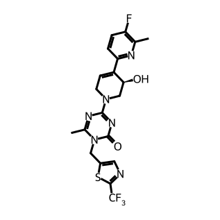 Cc1nc(C2=CCN(c3nc(C)n(Cc4cnc(C(F)(F)F)s4)c(=O)n3)C[C@@H]2O)ccc1F